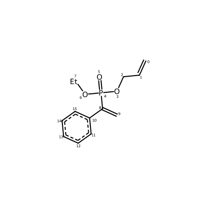 C=CCOP(=O)(OCC)C(=C)c1ccccc1